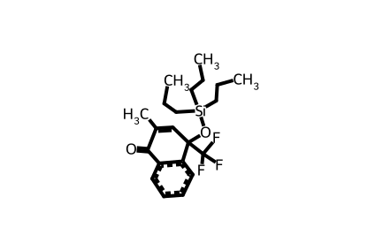 CCC[Si](CCC)(CCC)OC1(C(F)(F)F)C=C(C)C(=O)c2ccccc21